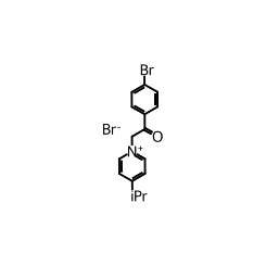 CC(C)c1cc[n+](CC(=O)c2ccc(Br)cc2)cc1.[Br-]